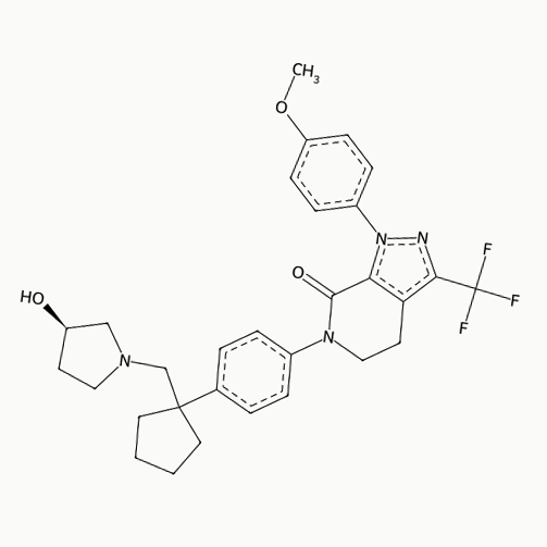 COc1ccc(-n2nc(C(F)(F)F)c3c2C(=O)N(c2ccc(C4(CN5CC[C@@H](O)C5)CCCC4)cc2)CC3)cc1